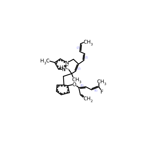 C=C/C(=C\C=C(/C)F)Oc1ccccc1CC(C)(C)/C=C(/C=C\C=C/C)Cn1cc(C)cn1